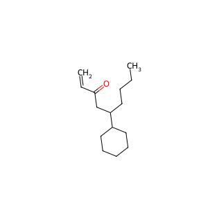 C=CC(=O)CC(CCCC)C1CCCCC1